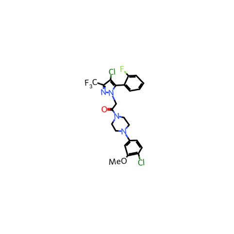 COc1cc(N2CCN(C(=O)Cn3nc(C(F)(F)F)c(Cl)c3-c3ccccc3F)CC2)ccc1Cl